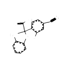 CC(Oc1ccccc1Br)(C(=O)O)c1ccc(C#N)cc1F